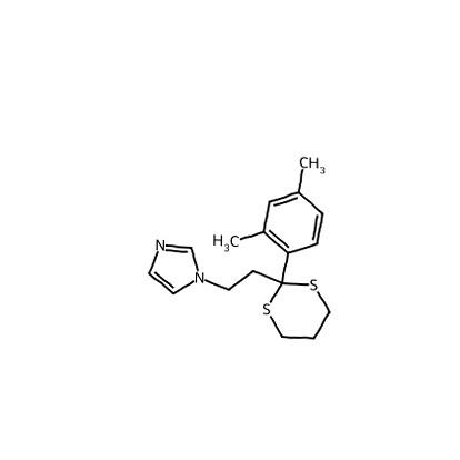 Cc1ccc(C2(CCn3ccnc3)SCCCS2)c(C)c1